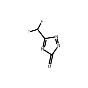 O=C1N=NC(C(F)F)=N1